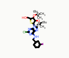 CC(C)(C)[Si](C)(C)OC1C(CO)SC(n2cnc3c(NCc4cccc(I)c4)nc(Cl)nc32)C1O[Si](C)(C)C(C)(C)C